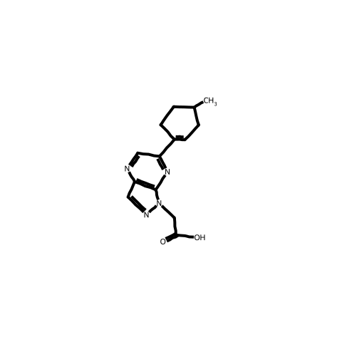 CC1CC=C(c2cnc3cnn(CC(=O)O)c3n2)CC1